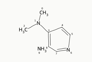 CN(C)c1ccncc1.N